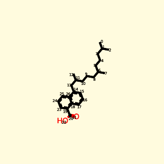 CC(C)CCCC(C)CCCC(C)Cc1cccc2c(C(=O)O)cccc12